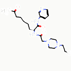 CCCN1CCN(CC(=O)N[C@@H](CCCCCC(C)=O)C(=O)Nc2cccnc2)CC1